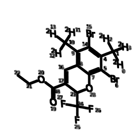 [2H]C([2H])([2H])c1c(Br)c2c(c(C([2H])([2H])[2H])c1Br)C=C(C(=O)OCC)C(C(F)(F)F)O2